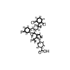 O=C(O)C1CCC(n2ncc(C(=O)N(Cc3ccc(F)cc3)CC(F)(F)c3c(Cl)cccc3Cl)c2C(F)(F)F)CC1